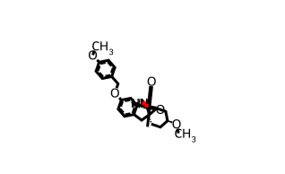 COc1ccc(COc2ccc3c(c2)C2(NC(=O)NC2=O)[C@]2(CC[C@H](OC)CC2)C3)cc1